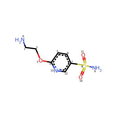 NCCOc1ccc(S(N)(=O)=O)cn1